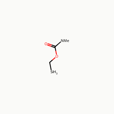 CNC(=O)OC[SiH3]